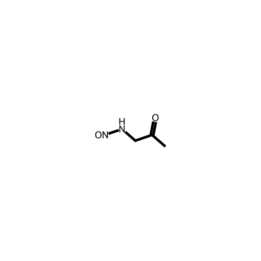 CC(=O)CNN=O